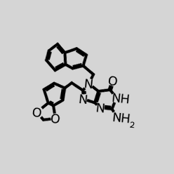 Nc1nc2nc(Cc3ccc4c(c3)OCO4)n(Cc3ccc4ccccc4c3)c2c(=O)[nH]1